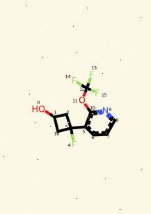 OC1CC(F)(c2cccnc2OC(F)(F)F)C1